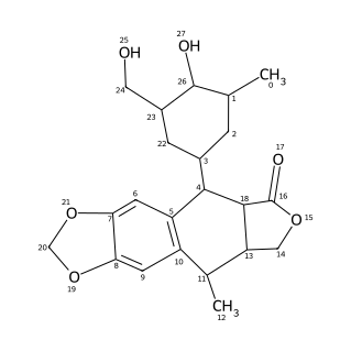 CC1CC(C2c3cc4c(cc3C(C)C3COC(=O)C32)OCO4)CC(CO)C1O